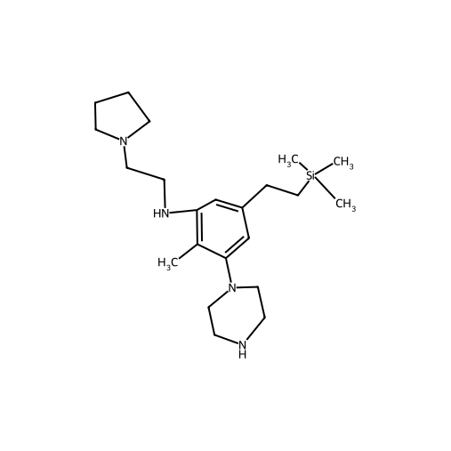 Cc1c(NCCN2CCCC2)cc(CC[Si](C)(C)C)cc1N1CCNCC1